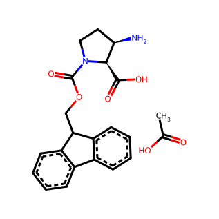 CC(=O)O.N[C@@H]1CCN(C(=O)OCC2c3ccccc3-c3ccccc32)[C@@H]1C(=O)O